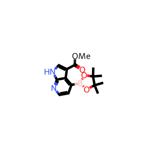 COC(=O)c1c[nH]c2nccc(B3OC(C)(C)C(C)(C)O3)c12